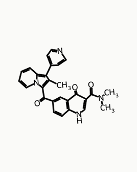 Cc1c(-c2ccncc2)c2ccccn2c1C(=O)c1ccc2[nH]cc(C(=O)N(C)C)c(=O)c2c1